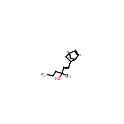 CCCC(C)(O)C=CC1CC2C=CC1C2